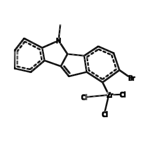 CN1c2ccccc2C2=Cc3c(ccc(Br)[c]3[Zr]([Cl])([Cl])[Cl])C21